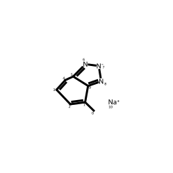 Cc1cccc2n[n-]nc12.[Na+]